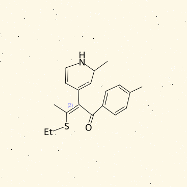 CCS/C(C)=C(\C(=O)c1ccc(C)cc1)C1=CC(C)NC=C1